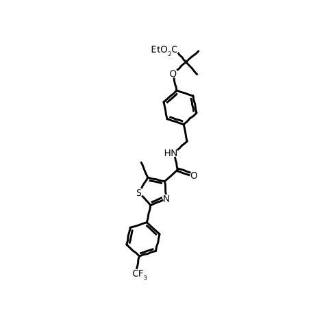 CCOC(=O)C(C)(C)Oc1ccc(CNC(=O)c2nc(-c3ccc(C(F)(F)F)cc3)sc2C)cc1